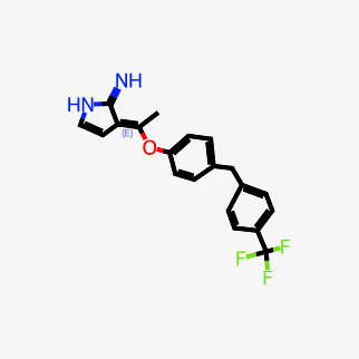 C/C(Oc1ccc(Cc2ccc(C(F)(F)F)cc2)cc1)=C1/C=CNC1=N